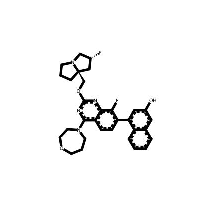 Oc1cc(-c2ccc3c(N4CCCOCC4)nc(OC[C@@]45CCCN4C[C@H](F)C5)nc3c2F)c2ccccc2c1